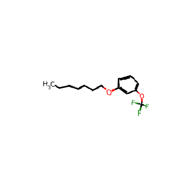 CCCCCCCOc1cccc(OC(F)(F)F)c1